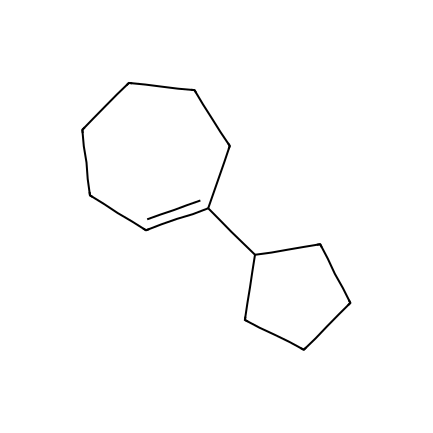 C1=C(C2CCCC2)CCCCC1